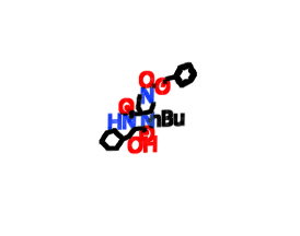 CCCCN1C(=O)[C@@H]([C@H](O)C2CCCCC2)NC(=O)C12CCN(C(=O)OCc1ccccc1)CC2